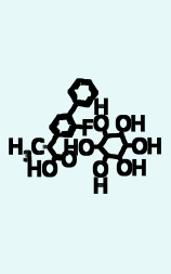 C[C@@H](C(=O)O)c1ccc(-c2ccccc2)c(F)c1.OC1C(O)C(O)C(O)C(O)C1O